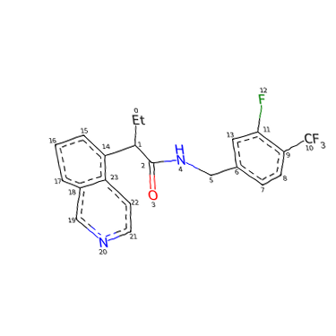 CCC(C(=O)NCc1ccc(C(F)(F)F)c(F)c1)c1cccc2cnccc12